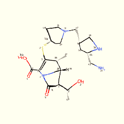 C[C@@H](O)[C@H]1C(=O)N2C(C(=O)O)=C(S[C@@H]3CCN(C[C@@H]4CN[C@H](CN)C4)C3)[C@H](C)[C@H]12